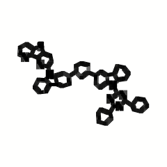 c1ccc(-c2nc(-c3ccccc3)nc(-n3c4ccccc4c4cc(-c5cccc(-c6ccc7c8ccccc8n(-c8ccc9sc%10cccnc%10c9n8)c7c6)c5)ccc43)n2)cc1